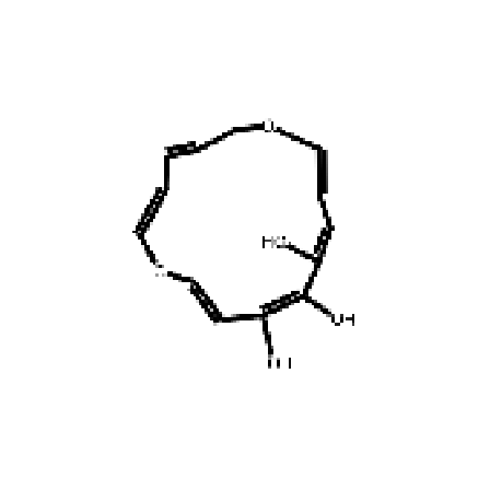 OC1=C\C=C\OC/C=C/C=C/O/C=C/C(O)=C\1O